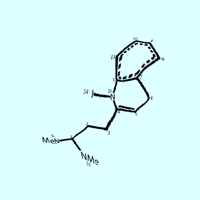 CNC(CCC1=CCc2ccccc2N1I)NC